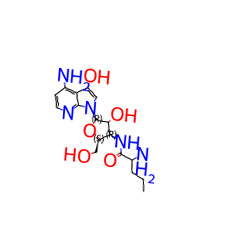 CCCC(N)C(=O)N[C@@H]1C(O)[C@H](n2cc(O)c3c(N)ccnc32)O[C@@H]1CO